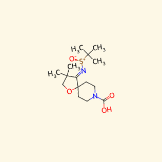 CC1(C)COC2(CCN(C(=O)O)CC2)C1=N[S@@+]([O-])C(C)(C)C